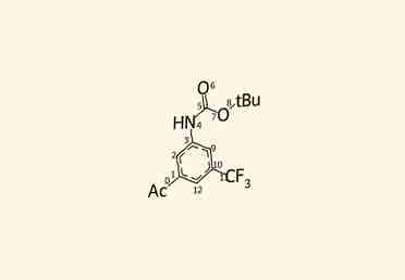 CC(=O)c1cc(NC(=O)OC(C)(C)C)cc(C(F)(F)F)c1